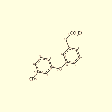 CCOC(=O)Cc1cccc(Oc2cccc(Cl)c2)c1